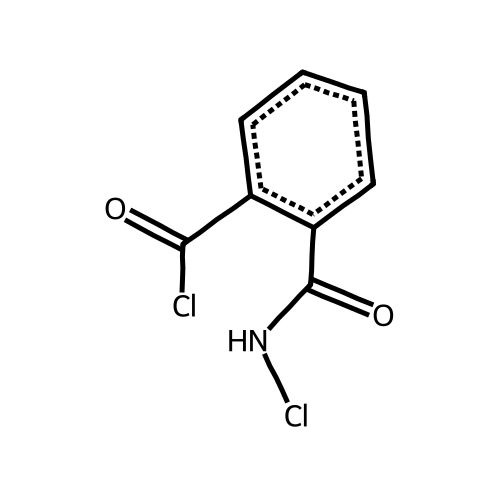 O=C(Cl)c1ccccc1C(=O)NCl